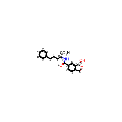 O=C(N[C@H](CCCc1ccccc1)C(=O)O)c1ccc2c(c1)B(O)OC2